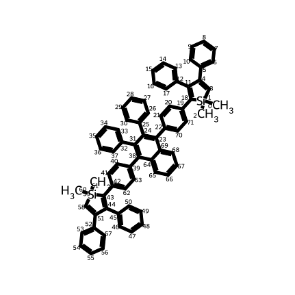 C[Si]1(C)C=C(c2ccccc2)C(c2ccccc2)=C1c1ccc(-c2c(-c3ccccc3)c(-c3ccccc3)c(-c3ccc(C4=C(c5ccccc5)C(c5ccccc5)=C[Si]4(C)C)cc3)c3ccccc23)cc1